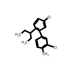 CCC(CC)c1ccc(Cl)cc1-c1ccc(C)c(Cl)c1